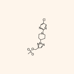 CS(=O)(=O)OCc1cnn(C2CCN(c3ncc(Cl)cn3)CC2)n1